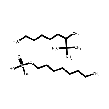 CCCCCCC(C)C(C)(C)N.CCCCCCCCOP(=O)(O)O